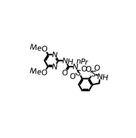 CCCN(C(=O)Nc1nc(OC)cc(OC)n1)S(=O)(=O)c1cccc2c1S(=O)(=O)NC2